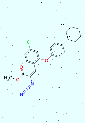 COC(=O)/C(=C\c1ccc(Cl)cc1Oc1ccc(C2CCCCC2)cc1)N=[N+]=[N-]